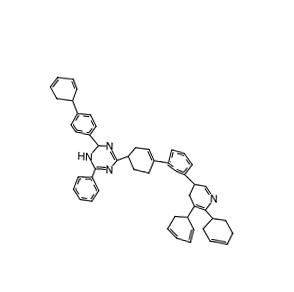 C1=CCC(C2=C(C3CC=CCC3)N=CC(c3cccc(C4=CCC(C5=NC(c6ccc(C7C=CC=CC7)cc6)NC(c6ccccc6)=N5)CC4)c3)C2)C=C1